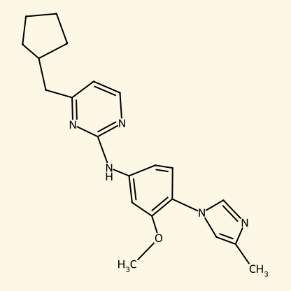 COc1cc(Nc2nccc(CC3CCCC3)n2)ccc1-n1cnc(C)c1